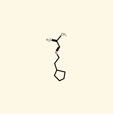 C=C(C)/C=N/CCC1CCCC1